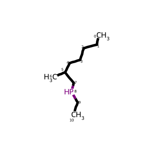 CCCCCC(C)CPCC